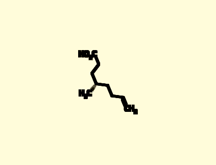 C=CCC[C@H](C)CCC(=O)O